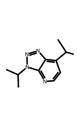 CC(C)c1ccnc2c1nnn2C(C)C